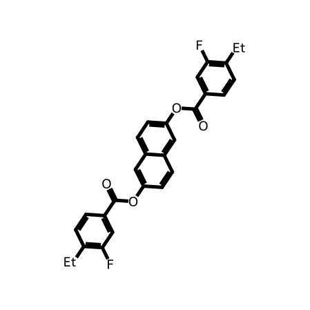 CCc1ccc(C(=O)Oc2ccc3cc(OC(=O)c4ccc(CC)c(F)c4)ccc3c2)cc1F